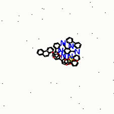 N#Cc1c(-n2c3ccccc3c3ccccc32)c(C#N)c(-n2c3ccccc3c3ccccc32)c(-n2c3cc(-c4cccc5c4ccc4ccccc45)ccc3c3ccc4c5ccccc5sc4c32)c1-n1c2ccccc2c2ccccc21